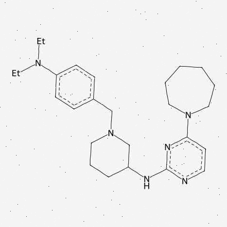 CCN(CC)c1ccc(CN2CCCC(Nc3nccc(N4CCCCCC4)n3)C2)cc1